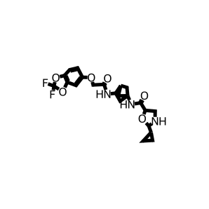 O=C(COc1ccc2c(c1)OC(F)(F)O2)NC1CC2(NC(=O)C3CNC(C4CC4)O3)CC1C2